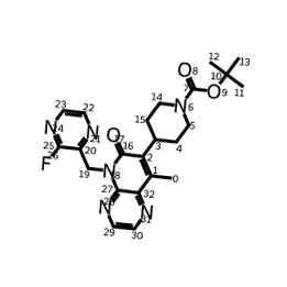 Cc1c(C2CCN(C(=O)OC(C)(C)C)CC2)c(=O)n(Cc2nccnc2F)c2nccnc12